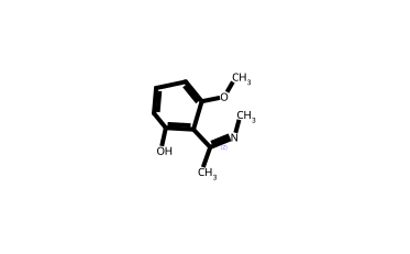 C/N=C(/C)c1c(O)cccc1OC